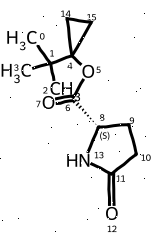 CC(C)(C)C1(OC(=O)[C@@H]2CCC(=O)N2)CC1